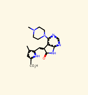 Cc1cc(C(=O)O)[nH]c1C=C1C(=O)Nc2ncnc(N3CCN(C)CC3)c21